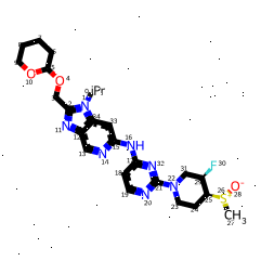 CC(C)n1c(COC2CCCCO2)nc2cnc(Nc3ccnc(N4CC[C@H]([S+](C)[O-])[C@H](F)C4)n3)cc21